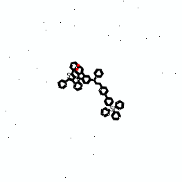 c1ccc(-c2sc(-c3ccccc3)c3c2-c2ccccc2C32c3ccccc3-c3cc(C(CCc4ccc(-c5ccc([Si](c6ccccc6)(c6ccccc6)c6ccccc6)cc5)cc4)c4ccccc4)ccc32)cc1